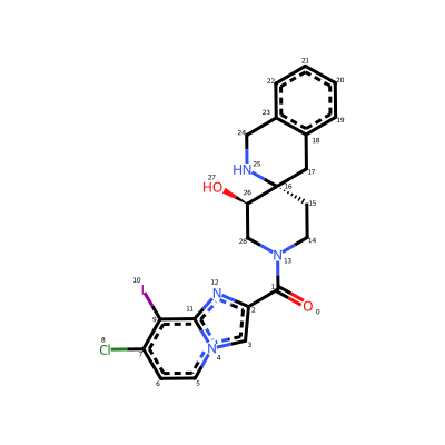 O=C(c1cn2ccc(Cl)c(I)c2n1)N1CC[C@]2(Cc3ccccc3CN2)[C@H](O)C1